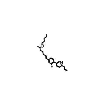 C=CCc1ccc(-c2ccc(C=CCCCC(C)OCCCCC)cc2F)cn1